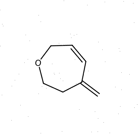 C=C1C=CCOCC1